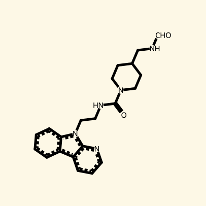 O=CNCC1CCN(C(=O)NCCn2c3ccccc3c3cccnc32)CC1